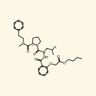 CCCCOC(=O)COc1ccccc1C(=O)N[C@H](CC(C)C)C(=O)N1CCC[C@@H]1C(=O)N(C)CCc1ccccc1